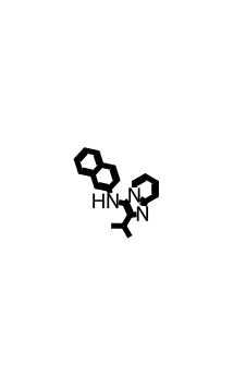 CC(C)c1nc2ccccn2c1Nc1ccc2ccccc2c1